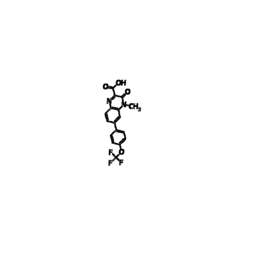 Cn1c(=O)c(C(=O)O)nc2ccc(-c3ccc(OC(F)(F)F)cc3)cc21